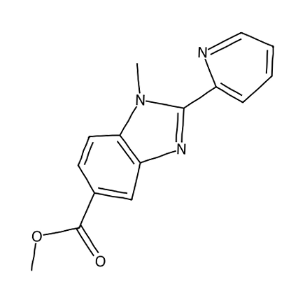 COC(=O)c1ccc2c(c1)nc(-c1ccccn1)n2C